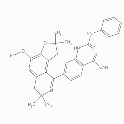 CCOc1cc2c(c3c1OC(C)(C)C3)C(c1ccc(C(=O)OC)c(NC(=O)Nc3ccccc3)c1)=NC(C)(C)C2